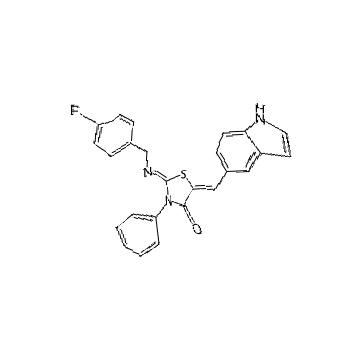 O=C1C(=Cc2ccc3[nH]ccc3c2)SC(=NCc2ccc(F)cc2)N1c1ccccc1